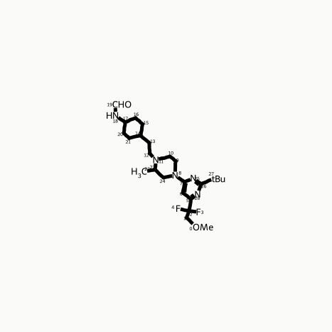 COCC(F)(F)c1cc(N2CCN(CCC3CCC(NC=O)CC3)C(C)C2)nc(C(C)(C)C)n1